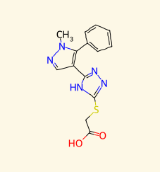 Cn1ncc(-c2nnc(SCC(=O)O)[nH]2)c1-c1ccccc1